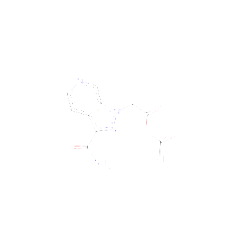 NC(=O)c1nn(CC(=O)OC(=O)C(F)(F)F)c2cnccc12